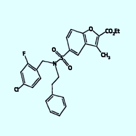 CCOC(=O)c1oc2ccc(S(=O)(=O)N(CCc3ccccc3)Cc3ccc(Cl)cc3F)cc2c1C